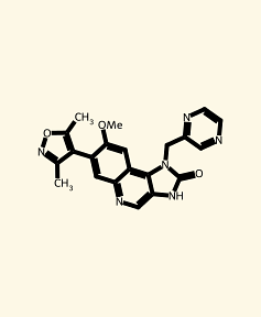 COc1cc2c(cc1-c1c(C)noc1C)ncc1[nH]c(=O)n(Cc3cnccn3)c12